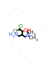 CN(C)CC(CN)C(O)C(Cl)Cl